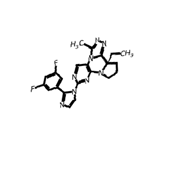 CC[C@@]12CCCN1c1nc(-n3ccnc3-c3cc(F)cc(F)c3)ncc1-n1c(C)nnc12